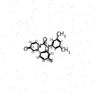 Cc1cc(C)cc(NC(=O)N2C=CC(=O)C[C@H]2c2ccc(F)cc2)c1